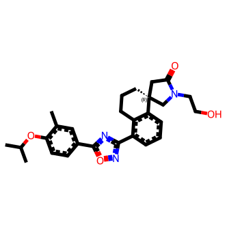 Cc1cc(-c2nc(-c3cccc4c3CCC[C@@]43CC(=O)N(CCO)C3)no2)ccc1OC(C)C